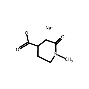 CN1CCC(C(=O)[O-])CC1=O.[Na+]